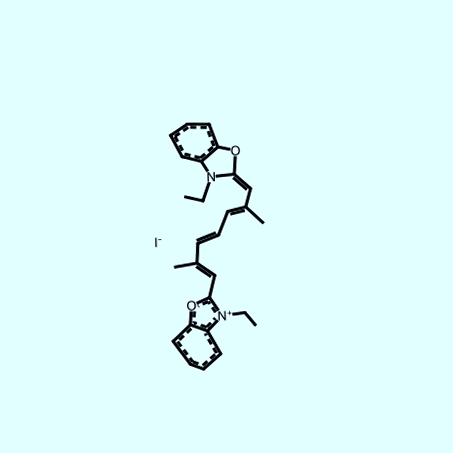 CCN1C(=CC(C)=CC=CC(C)=Cc2oc3ccccc3[n+]2CC)Oc2ccccc21.[I-]